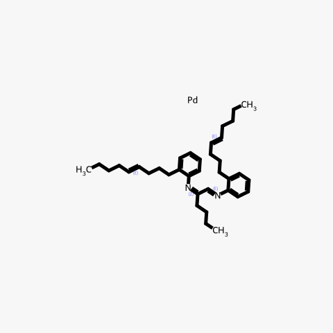 CCCC/C=C/CCCc1ccccc1/N=C(\C=N\c1ccccc1CCC/C=C/CCCC)CCCC.[Pd]